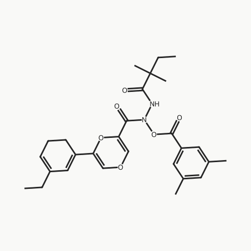 CCC1=CCCC(C2=COC=C(C(=O)N(NC(=O)C(C)(C)CC)OC(=O)c3cc(C)cc(C)c3)O2)=C1